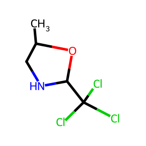 CC1CNC(C(Cl)(Cl)Cl)O1